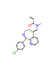 C=CC(=O)N(C)/C=C1\CCN=C(c2ccc(Cl)cc2)c2ncccc21